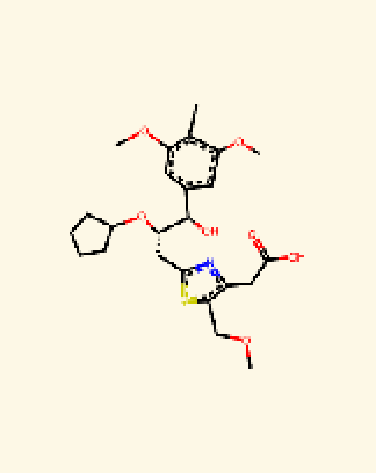 COCc1sc(C[C@H](OC2CCCC2)[C@H](O)c2cc(OC)c(C)c(OC)c2)nc1CC(=O)O